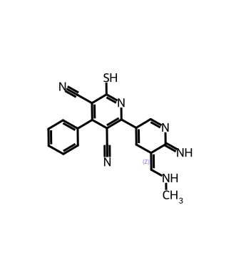 CN/C=C1/C=C(c2nc(S)c(C#N)c(-c3ccccc3)c2C#N)C=NC1=N